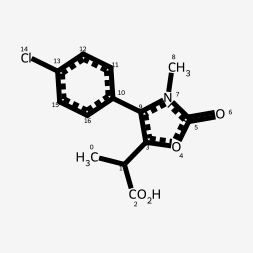 CC(C(=O)O)c1oc(=O)n(C)c1-c1ccc(Cl)cc1